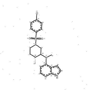 C[C@@H]1CCN(S(=O)(=O)c2ccc(Cl)cc2)CC1N(C)c1ccnc2[nH]ccc12